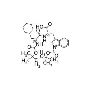 CC(C)(C)OC(=O)N[C@@H](CC1CCCCC1)C(=O)N[C@@H](Cc1cn(C(=O)OC(C)(C)C)c2ccccc12)C(=O)O